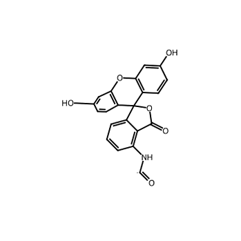 O=[C]Nc1cccc2c1C(=O)OC21c2ccc(O)cc2Oc2cc(O)ccc21